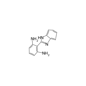 Nc1cccc(N)c1-c1nc2ccccc2[nH]1